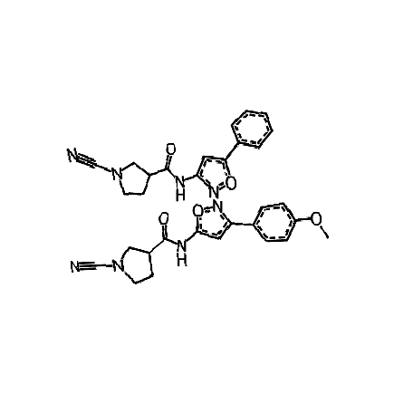 COc1ccc(-c2cc(NC(=O)C3CCN(C#N)C3)on2)cc1.N#CN1CCC(C(=O)Nc2cc(-c3ccccc3)on2)C1